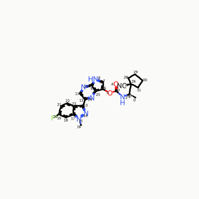 C[C@@H](NC(=O)Oc1c[nH]c2ncc(-c3nn(C)c4cc(F)ccc34)nc12)C1(C#N)CCCC1